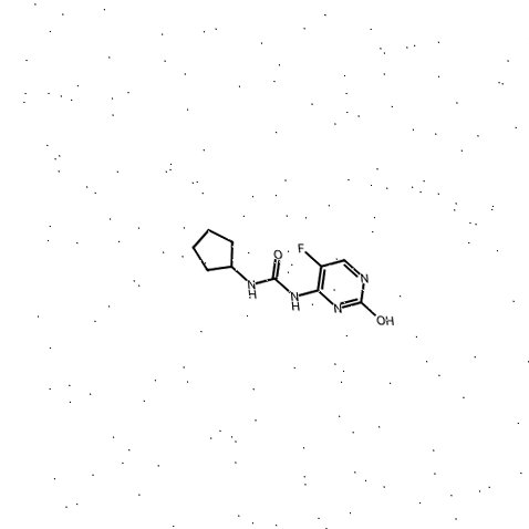 O=C(Nc1nc(O)ncc1F)NC1CCCC1